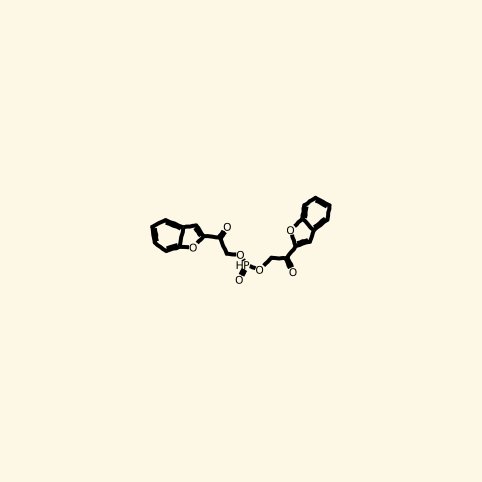 O=C(CO[PH](=O)OCC(=O)c1cc2ccccc2o1)c1cc2ccccc2o1